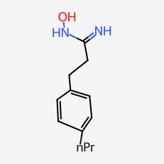 CCCc1ccc(CCC(=N)NO)cc1